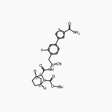 CC(C)(C)OC(=O)N1[C@@H]2CC[C@@H](C2)[C@H]1C(=O)N[C@H](C#N)Cc1ccc(-c2csc(C(N)=O)c2)cc1F